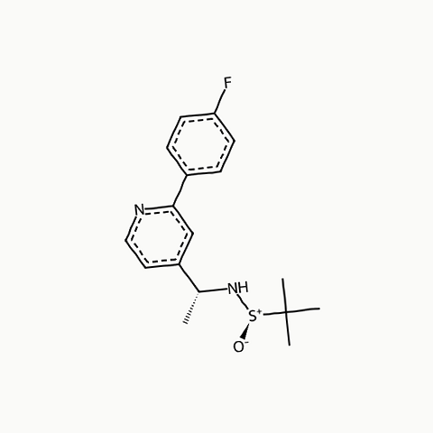 C[C@@H](N[S@+]([O-])C(C)(C)C)c1ccnc(-c2ccc(F)cc2)c1